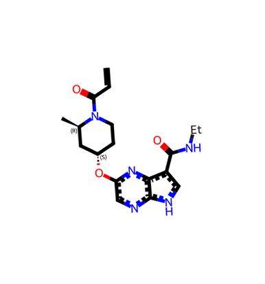 C=CC(=O)N1CC[C@H](Oc2cnc3[nH]cc(C(=O)NCC)c3n2)C[C@H]1C